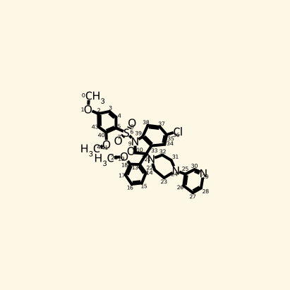 COc1ccc(S(=O)(=O)N2C(=O)C(c3ccccc3OC)(N3CCN(c4cccnc4)CC3)c3cc(Cl)ccc32)c(OC)c1